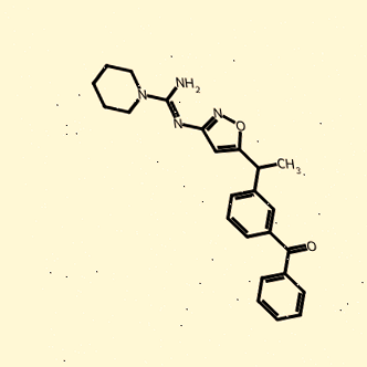 CC(c1cccc(C(=O)c2ccccc2)c1)c1cc(/N=C(\N)N2CCCCC2)no1